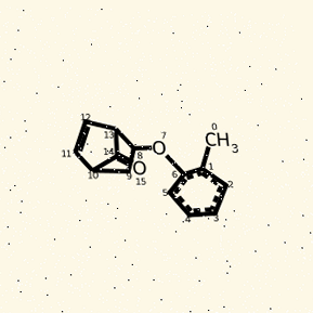 Cc1ccccc1OC1CC2C=CC1C2=O